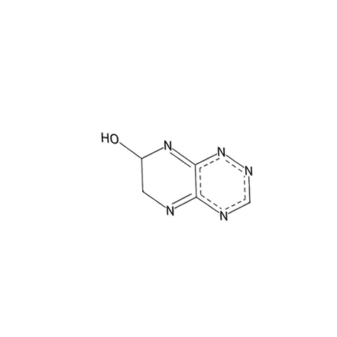 OC1CN=c2ncnnc2=N1